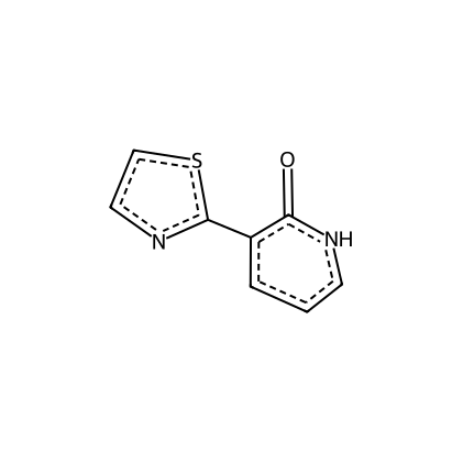 O=c1[nH]cccc1-c1nccs1